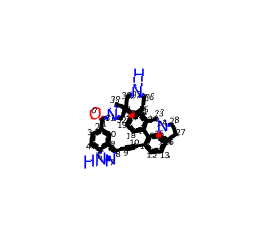 O=C(c1ccc2[nH]nc(C#Cc3ccccc3-c3ccccc3CN3CCCC3)c2c1)N1CC2(CCCNC2)C1